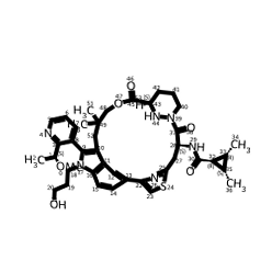 CO[C@@H](C)c1ncccc1-c1c2c3cc(ccc3n1CCCO)-c1csc(n1)C[C@H](NC(=O)[C@H]1[C@H](C)[C@@H]1C)C(=O)N1CCC[C@H](N1)C(=O)OCC(C)(C)C2